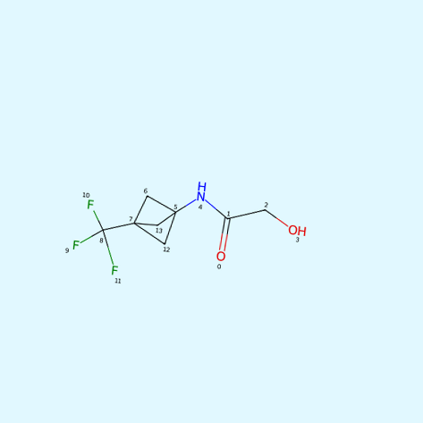 O=C(CO)NC12CC(C(F)(F)F)(C1)C2